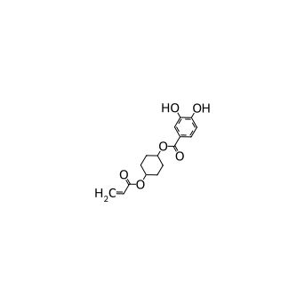 C=CC(=O)OC1CCC(OC(=O)c2ccc(O)c(O)c2)CC1